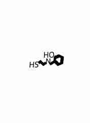 Oc1ccccc1/C=N/CCS